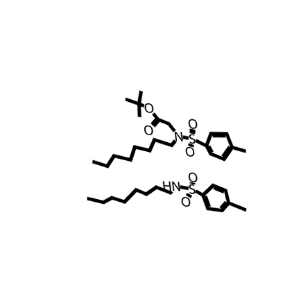 CCCCCCCCN(CC(=O)OC(C)(C)C)S(=O)(=O)c1ccc(C)cc1.CCCCCCCCNS(=O)(=O)c1ccc(C)cc1